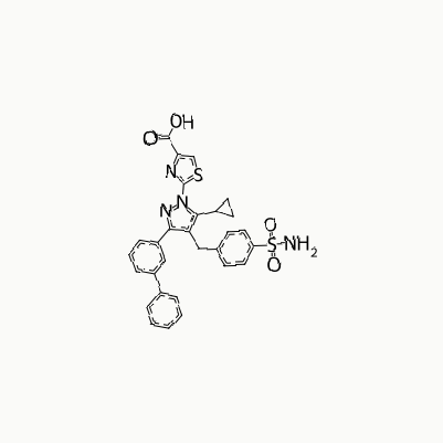 NS(=O)(=O)c1ccc(Cc2c(-c3cccc(-c4ccccc4)c3)nn(-c3nc(C(=O)O)cs3)c2C2CC2)cc1